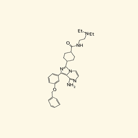 CCN(CC)CCNC(=O)C1CCC(c2nc(-c3cccc(OCc4ccccc4)c3)c3c(N)nccn23)CC1